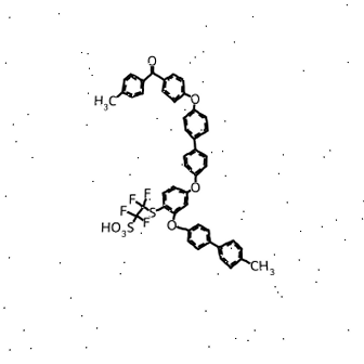 Cc1ccc(C(=O)c2ccc(Oc3ccc(-c4ccc(Oc5ccc(SC(F)(F)C(F)(F)S(=O)(=O)O)c(Oc6ccc(-c7ccc(C)cc7)cc6)c5)cc4)cc3)cc2)cc1